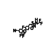 N#Cc1ccc(Oc2ccc(C=C3SC(NCC(F)F)=NC3=O)cc2F)c(C(F)(F)F)c1